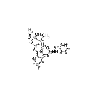 COc1cc(C=C2c3ncc(F)cc3C(CC(=O)NCc3cccnc3)N2C)cc(OC)c1O